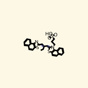 CCC(/C=C1\Sc2ccc3ccccc3c2N1CCCS(=O)(=O)O)=C\c1nc2c(ccc3ccccc32)s1